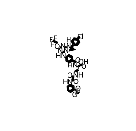 CS(=O)(=O)c1cccc(NC(=O)C(=O)NCC[C@H](NC(=O)c2ccc(Nc3nc(NC4(c5ccc(Cl)cc5)CC4)nc(OCC(F)(F)F)n3)cc2)C(=O)O)c1